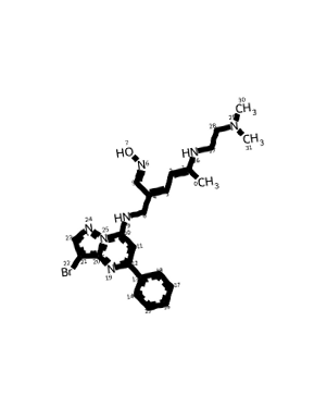 C\C(=C/C=C(\C=N\O)CNc1cc(-c2ccccc2)nc2c(Br)cnn12)NCCN(C)C